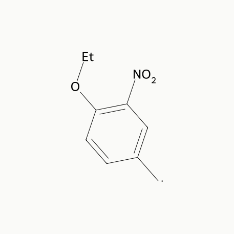 [CH2]c1ccc(OCC)c([N+](=O)[O-])c1